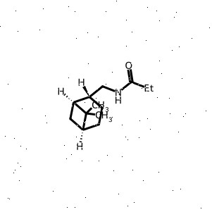 CCC(=O)NC[C@@H]1CC[C@H]2C[C@@H]1C2(C)C